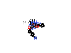 CC(C)(C)NC(=O)CC(NC(=O)CCc1ccccc1)C(=O)NCCNC(=O)c1cccc(-c2ccc(C#N)cc2)c1